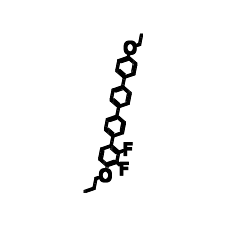 CCCOc1ccc(-c2ccc(-c3ccc(-c4ccc(OCC)cc4)cc3)cc2)c(F)c1F